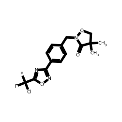 CC1(C)CON(Cc2ccc(-c3noc(C(F)(F)Cl)n3)cc2)C1=O